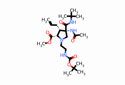 C=CC[C@H]1[C@@H](C(=O)OC)N(CCNC(=O)OC(C)(C)C)C[C@]1(NC(C)=O)C(=O)NC(C)(C)C